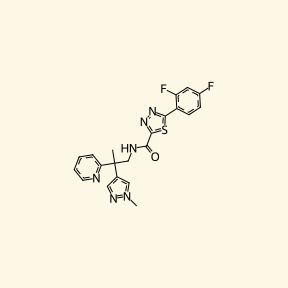 Cn1cc(C(C)(CNC(=O)c2nnc(-c3ccc(F)cc3F)s2)c2ccccn2)cn1